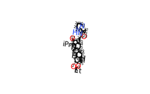 CCC(=O)O[C@H]1CC[C@]2(C)[C@H]3CC[C@@H]4C5=C(C(C)C)C(=O)C[C@]5(/C=C/C(=O)NC5(c6ncccn6)CC5)CC[C@@]4(C)[C@]3(C)CC[C@H]2C1(C)C